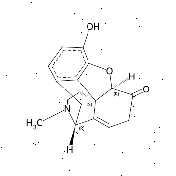 CN1CC[C@@]23C4=CCC(=O)[C@@H]2Oc2c(O)ccc(c23)C[C@H]41